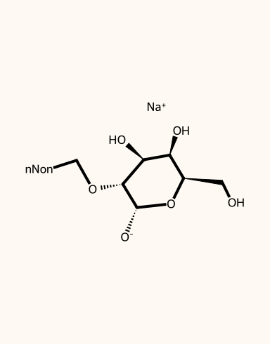 CCCCCCCCCCO[C@@H]1[C@@H](O)[C@@H](O)[C@@H](CO)O[C@@H]1[O-].[Na+]